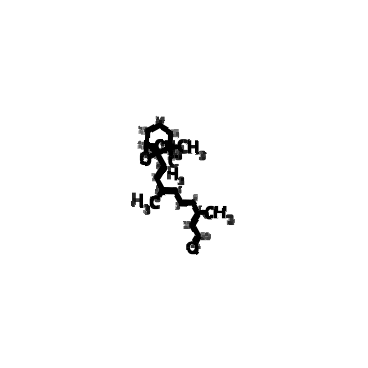 CC(C=CC=C(C)C=CC12OC1(C)CCCC2(C)C)=CC=O